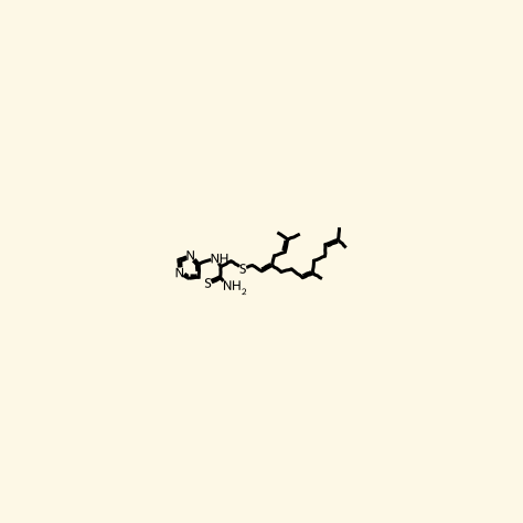 CC(C)=CCCC(C)=CCCC(=CCSCC(Nc1ccncn1)C(N)=S)CC=C(C)C